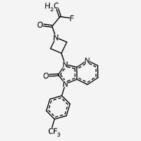 C=C(F)C(=O)N1CC(n2c(=O)n(-c3ccc(C(F)(F)F)cc3)c3cccnc32)C1